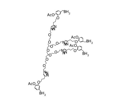 BCc1ccc(OC(C)=O)c(OCCCc2cn(CCOCCOCC(COCC(COCCOCCn3cc(CCCOc4cc(CB)ccc4OC(C)=O)nn3)OCCOCCn3cc(CCCOc4cc(CB)ccc4OC(C)=O)nn3)OCCOCCn3cc(CCCOc4cc(CB)ccc4OC(C)=O)nn3)nn2)c1